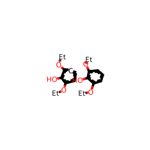 CCOc1cccc(OCC)c1O.CCOc1cccc(OCC)c1O